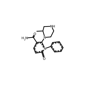 CC1CNCCN1c1c(C(N)=O)ccc(=O)n1-c1ccccc1